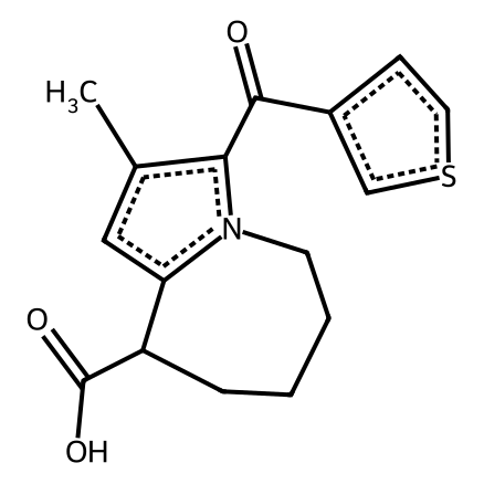 Cc1cc2n(c1C(=O)c1ccsc1)CCCCC2C(=O)O